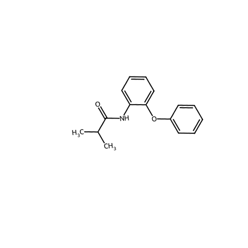 CC(C)C(=O)Nc1ccccc1Oc1ccccc1